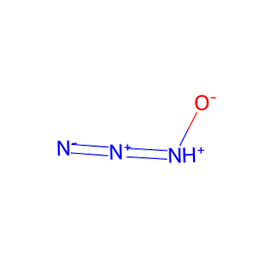 [N-]=[N+]=[NH+][O-]